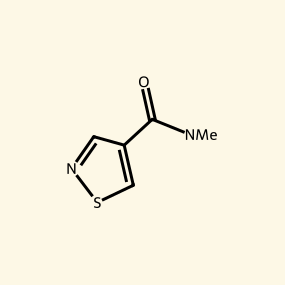 CNC(=O)c1cnsc1